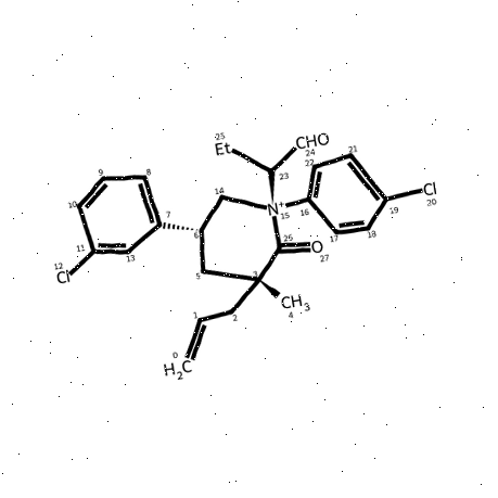 C=CC[C@]1(C)C[C@H](c2cccc(Cl)c2)C[N@@+](c2ccc(Cl)cc2)(C(C=O)CC)C1=O